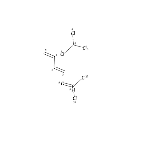 C=CC=C.ClC(Cl)Cl.O=[PH](Cl)Cl